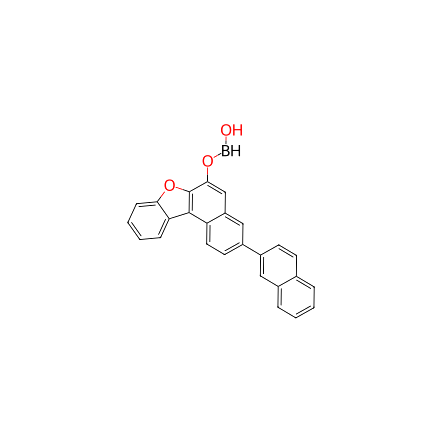 OBOc1cc2cc(-c3ccc4ccccc4c3)ccc2c2c1oc1ccccc12